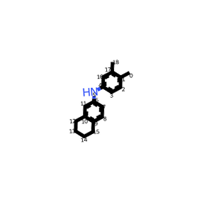 Cc1ccc(Nc2ccc3c(c2)CCCC3)cc1C